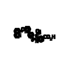 CC(c1nc2ccc(C(=O)O)cc2n1C[C@@H]1CCO1)N1CCC(c2cccc(OCc3cccc4cccnc34)n2)CC1